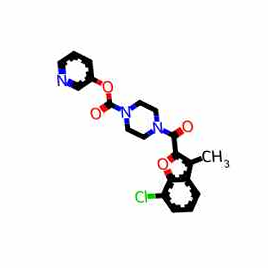 Cc1c(C(=O)N2CCN(C(=O)Oc3cccnc3)CC2)oc2c(Cl)cccc12